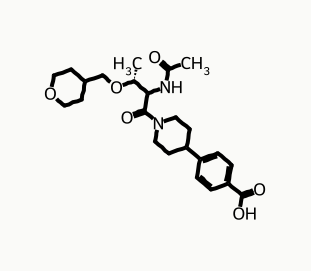 CC(=O)NC(C(=O)N1CCC(c2ccc(C(=O)O)cc2)CC1)[C@@H](C)OCC1CCOCC1